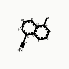 Cc1cccc2c(C#N)nccc12